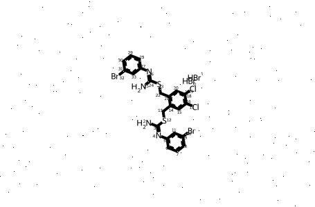 Br.Br.NC(=Nc1cccc(Br)c1)SCc1cc(Cl)c(Cl)cc1CS/C(N)=N/c1cccc(Br)c1